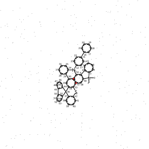 CC1(C)c2ccccc2-c2c(N(c3ccc(-c4ccccc4)cc3)c3ccccc3-c3ccc4c(c3)C3(c5ccccc5S4)c4ccccc4-c4ccccc43)cccc21